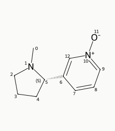 CN1CCC[C@H]1c1ccc[n+]([O-])c1